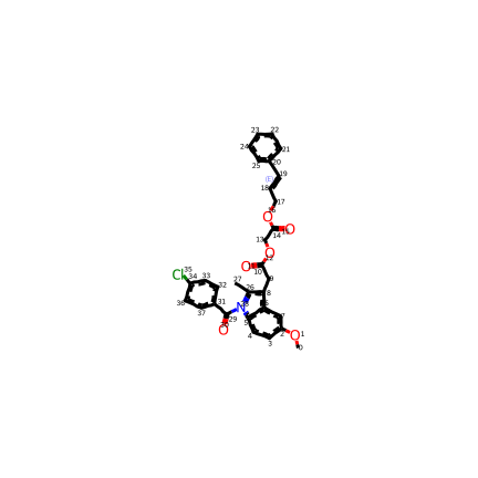 COc1ccc2c(c1)c(CC(=O)OCC(=O)OC/C=C/c1ccccc1)c(C)n2C(=O)c1ccc(Cl)cc1